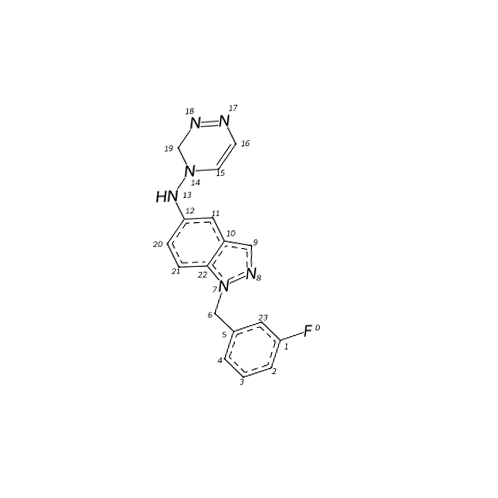 Fc1cccc(Cn2ncc3cc(NN4C=CN=NC4)ccc32)c1